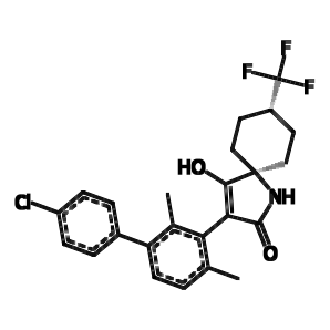 Cc1ccc(-c2ccc(Cl)cc2)c(C)c1C1=C(O)[C@]2(CC[C@@H](C(F)(F)F)CC2)NC1=O